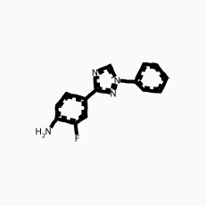 Nc1ccc(-c2ncn(-c3cc[c]cc3)n2)cc1F